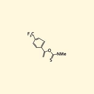 C=C(OC(=S)NC)c1ccc(C(F)(F)F)cc1